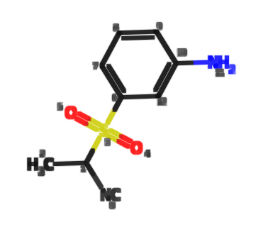 [C-]#[N+]C(C)S(=O)(=O)c1cccc(N)c1